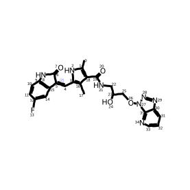 Cc1[nH]c(/C=C2\C(=O)Nc3ccc(F)cc32)c(C)c1C(=O)NCC(O)COn1nnc2cccnc21